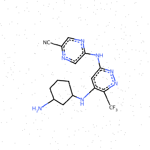 N#Cc1cnc(Nc2cc(NC3CCCC(N)C3)c(C(F)(F)F)nn2)cn1